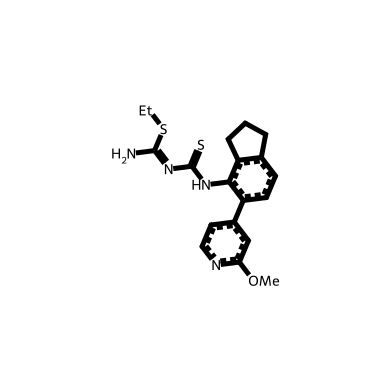 CCS/C(N)=N\C(=S)Nc1c(-c2ccnc(OC)c2)ccc2c1CCC2